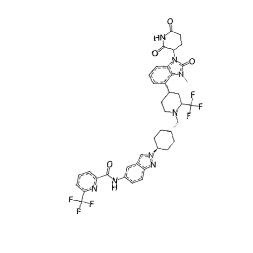 Cn1c(=O)n(C2CCC(=O)NC2=O)c2cccc(C3CCN(C[C@H]4CC[C@H](n5cc6cc(NC(=O)c7cccc(C(F)(F)F)n7)ccc6n5)CC4)C(C(F)(F)F)C3)c21